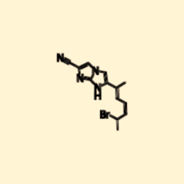 C/C(=C\C=C/C(C)Br)c1cn2cc(C#N)nc2[nH]1